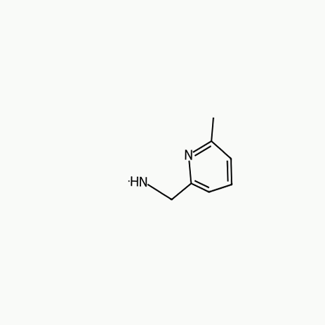 Cc1cccc(C[NH])n1